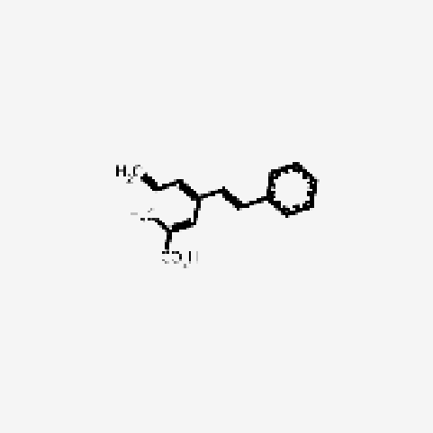 C=CC=C(C=Cc1ccccc1)C=C(C)C(=O)O